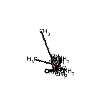 CCCCCCCCCCCCCCCCCCCCCCCCCC(=O)O[C@H](CCCCCCCCCCCCCC)[C@@H](O)[C@H](CO[C@H]1O[C@H](CO)[C@H](O)[C@H](O)[C@H]1O)N(C(=O)OCc1ccc(N)cc1)C(=O)[C@H](CCCNC(N)=O)NC(=O)[C@@H](NC(=O)OCC1C2CCC#CCCC21)C(C)C